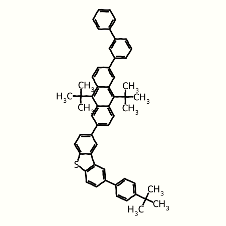 CC(C)(C)c1ccc(-c2ccc3sc4ccc(-c5ccc6c(C(C)(C)C)c7cc(-c8cccc(-c9ccccc9)c8)ccc7c(C(C)(C)C)c6c5)cc4c3c2)cc1